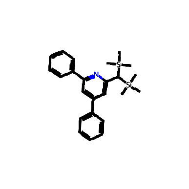 C[Si](C)(C)C(c1cc(-c2ccccc2)cc(-c2ccccc2)n1)[Si](C)(C)C